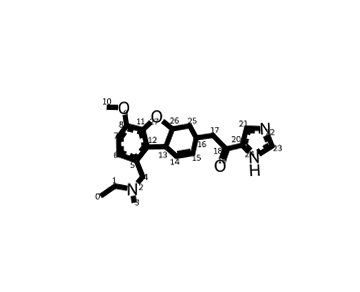 CCN(C)Cc1ccc(OC)c2c1C1C=CC(CC(=O)c3cnc[nH]3)CC1O2